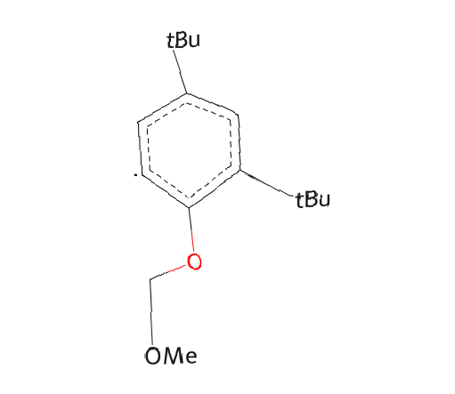 COCOc1[c]cc(C(C)(C)C)cc1C(C)(C)C